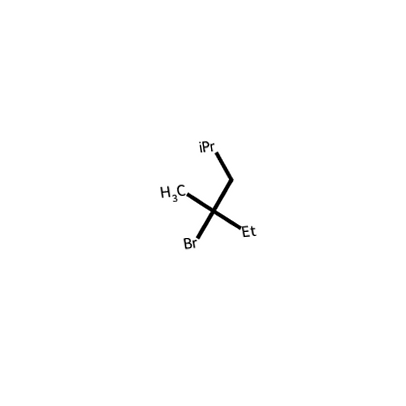 CCC(C)(Br)CC(C)C